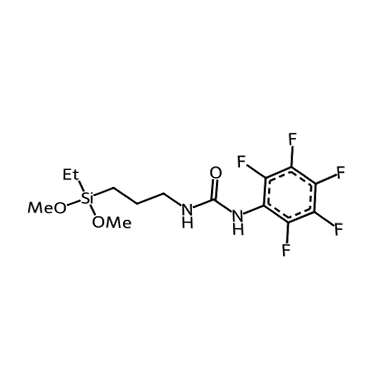 CC[Si](CCCNC(=O)Nc1c(F)c(F)c(F)c(F)c1F)(OC)OC